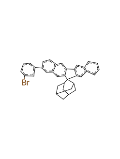 Brc1cccc(-c2ccc3cc4c(cc3c2)C2(c3cc5ccccc5cc3-4)C3CC4CC(C3)CC2C4)c1